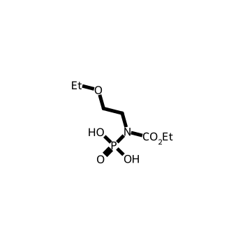 CCOCCN(C(=O)OCC)P(=O)(O)O